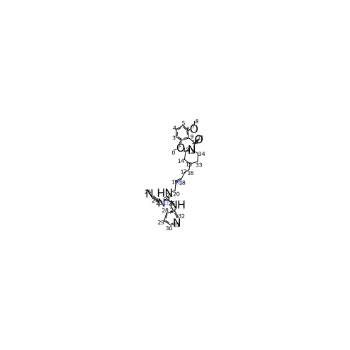 COc1cccc(OC)c1C(=O)N1CCC(CC/C=C/CN/C(=N\C#N)Nc2cccnc2)CC1